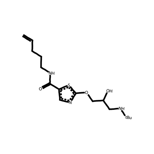 C=CCCCNC(=O)c1cnc(OCC(O)CNC(C)(C)C)s1